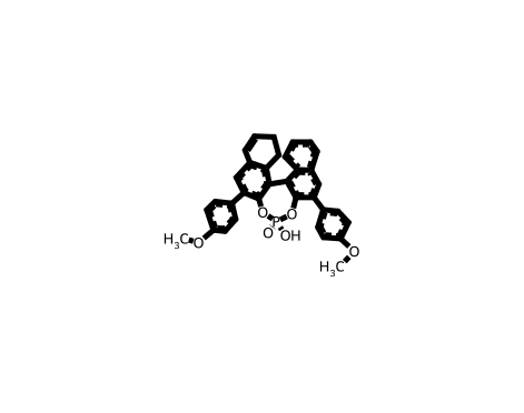 COc1ccc(-c2cc3c(c4c2OP(=O)(O)Oc2c(-c5ccc(OC)cc5)cc5ccccc5c2-4)CCC=C3)cc1